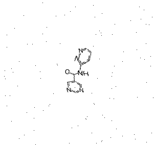 O=C(Nc1cccnn1)c1cncnc1